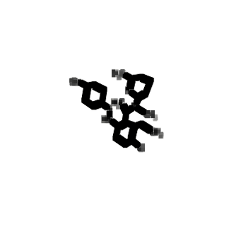 C=Cc1c(Cl)ccc(NSc2ccc(C(C)(C)C)cc2)c1C(=C)N(C)c1cccc(C)n1